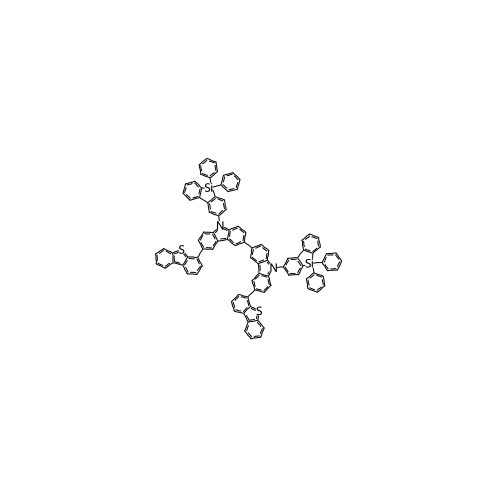 c1ccc([Si]2(c3ccccc3)c3ccccc3-c3cc(-n4c5ccc(-c6ccc7c(c6)c6cc(-c8cccc9c8sc8ccccc89)ccc6n7-c6ccc7c(c6)-c6ccccc6[Si]7(c6ccccc6)c6ccccc6)cc5c5cc(-c6cccc7c6sc6ccccc67)ccc54)ccc32)cc1